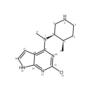 C[C@@H]1CCNC[C@@H]1N(C)c1nc(Cl)nc2[nH]ccc12